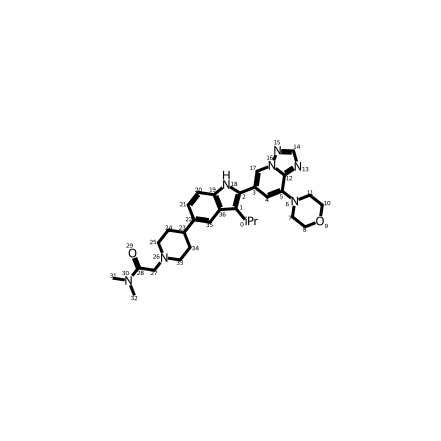 CC(C)c1c(-c2cc(N3CCOCC3)c3ncnn3c2)[nH]c2ccc(C3CCN(CC(=O)N(C)C)CC3)cc12